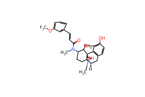 CN(C(=O)/C=C/c1cccc(OC(F)(F)F)c1)C1CC[C@@]2(O)[C@H]3Cc4ccc(O)c5c4[C@@]2(CCN3C)C1(C)O5